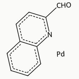 O=Cc1ccc2ccccc2n1.[Pd]